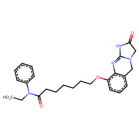 O=C(O)CN(C(=O)CCCCCCOc1cccc2c1N=C1NC(=O)CN1C2)c1ccccc1